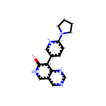 O=c1[nH]cc2cncnc2c1-c1ccc(N2CCCC2)nc1